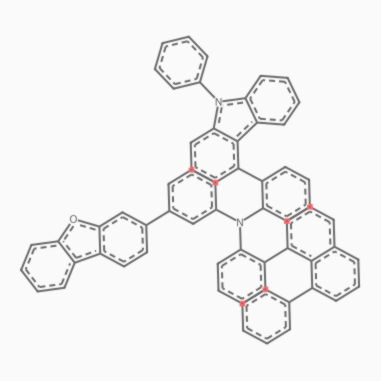 c1ccc(-c2cccc3cccc(-c4ccccc4N(c4cccc(-c5ccc6c(c5)oc5ccccc56)c4)c4ccccc4-c4cccc5c4c4ccccc4n5-c4ccccc4)c23)cc1